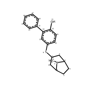 CN1C2CCC1CC(Sc1ccc(O)c(-c3ccccc3)c1)C2